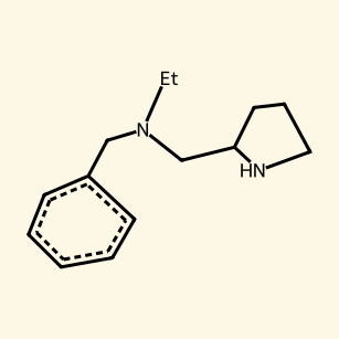 CCN(Cc1ccccc1)CC1CCCN1